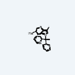 CC(C)(C)c1cnc2c(I)cn(C(C)(c3ccccn3)c3ccccn3)c2c1